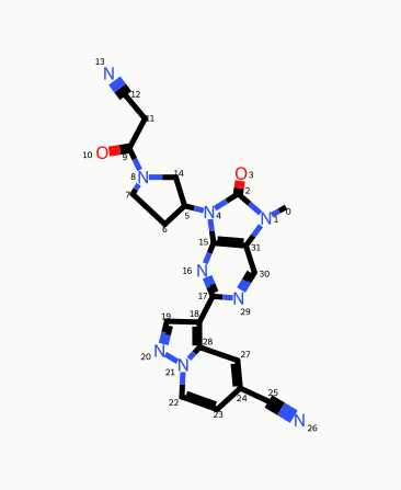 Cn1c(=O)n(C2CCN(C(=O)CC#N)C2)c2nc(-c3cnn4ccc(C#N)cc34)ncc21